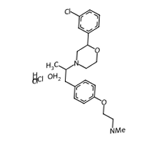 CNCCOc1ccc(CC(C)N2CCOC(c3cccc(Cl)c3)C2)cc1.Cl.Cl.O